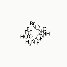 NCC(Cc1n[nH]c(=O)n1-c1ccc(Br)nc1)=C(F)F.O=C(O)C(F)(F)F